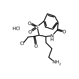 Cl.NCCCC1NC(=O)c2ccc(cc2)S(=O)(=O)C1C(=O)CCl